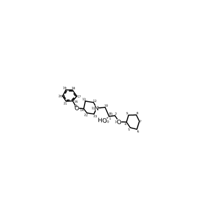 O[C@@H](COC1CCCCC1)CN1CCC(Oc2ccccc2)CC1